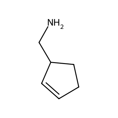 NCC1C=CCC1